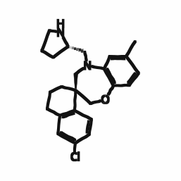 Cc1ccc2c(c1)N(C[C@@H]1CCCN1)C[C@@]1(CCCc3cc(Cl)ccc31)CO2